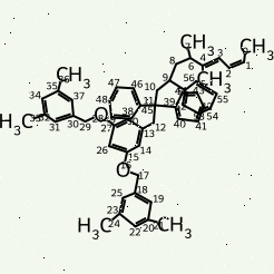 C/C=C\C=C(/C)C(C)CC(CC(Cc1cc(OCc2cc(C)cc(C)c2)cc(OCc2cc(C)cc(C)c2)c1)(c1ccccc1)c1ccccc1)c1ccccc1